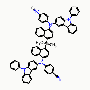 [C-]#[N+]c1ccc(N(c2ccc3c(c2)c2ccccc2n3-c2ccccc2)c2ccc([Si](C)(C)c3ccc(N(c4ccc(C#N)cc4)c4ccc5c(c4)c4ccccc4n5-c4ccccc4)c4ccccc34)c3ccccc23)cc1